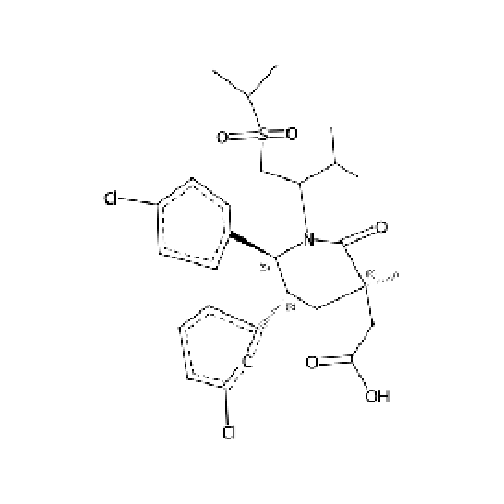 CC(C)C(CS(=O)(=O)C(C)C)N1C(=O)[C@@](C)(CC(=O)O)C[C@H](c2cccc(Cl)c2)[C@H]1c1ccc(Cl)cc1